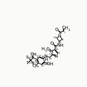 C=CC(=O)N1CC(NC(=O)c2cnc(CNc3cc(C(=C)C(F)(F)F)c(Cl)cc3O)n2C)C1